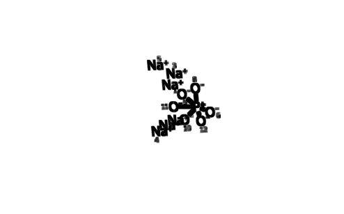 [Na+].[Na+].[Na+].[Na+].[Na+].[Na+].[O-][Pt]([O-])([O-])([O-])([O-])[O-]